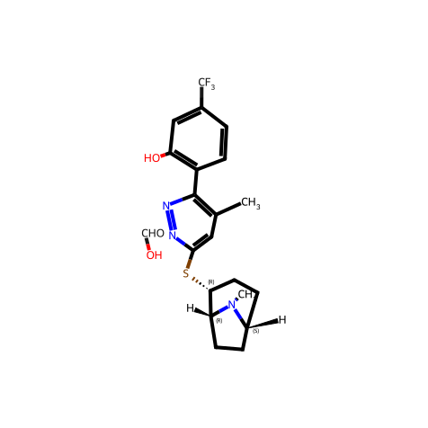 Cc1cc(S[C@@H]2CC[C@@H]3CC[C@H]2N3C)nnc1-c1ccc(C(F)(F)F)cc1O.O=CO